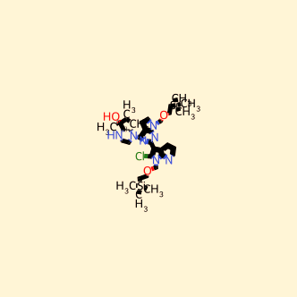 CC(C)[C@@](C)(O)[C@@H]1CN(c2nc(-c3c(Cl)n(COCC[Si](C)(C)C)c4ncccc34)nc3c2ccn3COCC[Si](C)(C)C)CCN1